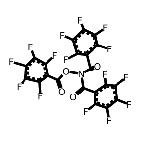 O=C(ON(C(=O)c1c(F)c(F)c(F)c(F)c1F)C(=O)c1c(F)c(F)c(F)c(F)c1F)c1c(F)c(F)c(F)c(F)c1F